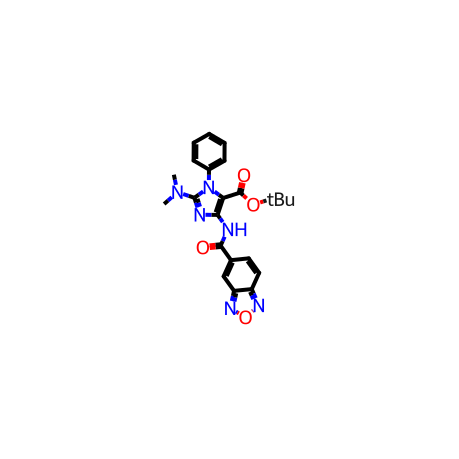 CN(C)c1nc(NC(=O)c2ccc3nonc3c2)c(C(=O)OC(C)(C)C)n1-c1ccccc1